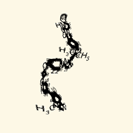 Cn1c2ccncc2c2ccc(-c3ccc(OC4CC(OC5CCN(c6ccnc(C#CC(C)(C)Oc7ccc8c(c7)CN(C7CCC(=O)NC7=O)C8=O)n6)CC5)C4)nc3)cc21